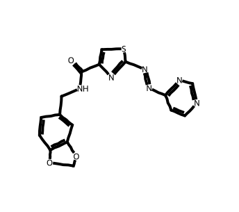 O=C(NCc1ccc2c(c1)OCO2)c1csc(N=Nc2ccncn2)n1